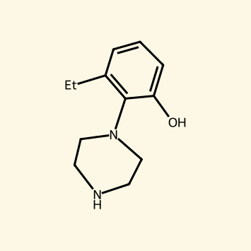 CCc1cccc(O)c1N1CCNCC1